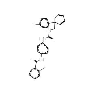 O=C(Nc1ccc(NC(=S)NCC2(c3ccc(F)cc3)C=CC=CC2)cc1)c1ccccc1F